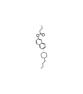 CCCC[C@H]1CC[C@H](c2ccc3cc(OC(=O)CCC)ccc3c2)CC1